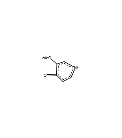 COc1c[nH]ccc1=O